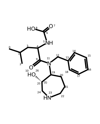 CC(C)CC(NC(=O)O)C(=O)N(Cc1ccccc1)C1CCCNC[C@@H]1O